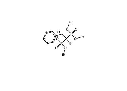 CCOP(=O)(OCC)C(CC)(Cc1cccnc1)P(=O)(OCC)OCC